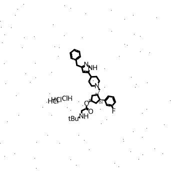 CC(C)(C)NCC(=O)O[C@H]1C[C@H](CN2CCC(c3cc(Cc4ccccc4)n[nH]3)CC2)[C@@H](c2cccc(F)c2)C1.Cl.Cl.Cl